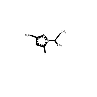 CC(C)n1nc(N)cc1F